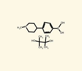 CC(C)(O)C(C)(C)O.CN1CCC(c2ccc(B(O)O)cc2)CC1